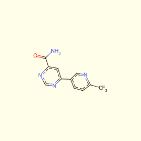 NC(=O)c1cc(-c2ccc(C(F)(F)F)nc2)ncn1